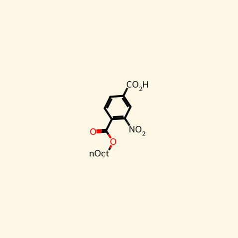 CCCCCCCCOC(=O)c1ccc(C(=O)O)cc1[N+](=O)[O-]